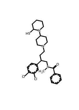 CN(CC(CCN1CCC(N2CCCCC2S)CC1)c1ccc(Cl)c(Cl)c1)C(=O)c1ccccc1